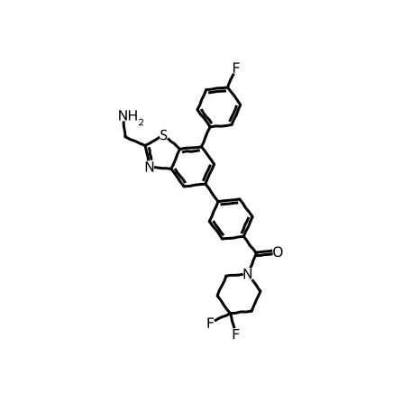 NCc1nc2cc(-c3ccc(C(=O)N4CCC(F)(F)CC4)cc3)cc(-c3ccc(F)cc3)c2s1